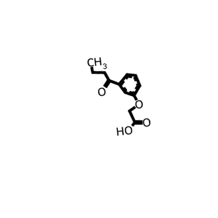 CCCC(=O)c1cccc(OCC(=O)O)c1